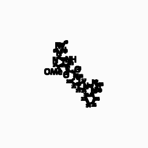 COc1cnc(-n2cnc(C)n2)c2[nH]cc(C(=O)C(=O)N3CCC4(CCN(c5ncnn5-c5ccccc5)C4)C3)c12